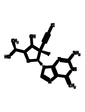 C=C1NC(N)=Nc2c1ncn2[C@@H]1OC([C@H](C)O)C(O)[C@]1(F)C#CCl